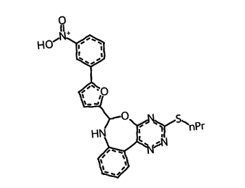 CCCSc1nnc2c(n1)OC(c1ccc(-c3cccc([N+](=O)O)c3)o1)Nc1ccccc1-2